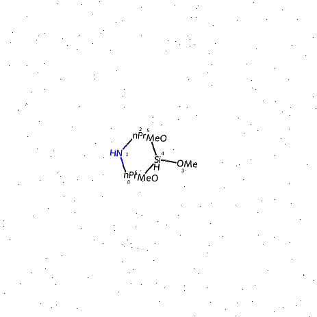 CCCNCCC.CO[SiH](OC)OC